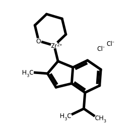 CC1=Cc2c(C(C)C)cccc2[CH]1[Zr+2]1[CH2]CCC[O]1.[Cl-].[Cl-]